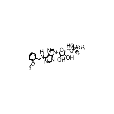 CCOc1ccccc1CNc1ncnc2c1ncn2[C@@H]1O[C@H](COP(=O)(O)O)[C@@H](O)[C@H]1O